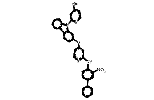 CC(C)(C)c1ccnc(-n2c3ccccc3c3ccc(Oc4ccnc(Nc5ccc(-c6ccccc6)cc5[N+](=O)[O-])c4)cc32)c1